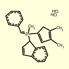 CC1=C(C)C[C]([Zr]([CH3])(=[CH]c2ccccc2)[CH]2C=Cc3ccccc32)=C1.Cl.Cl